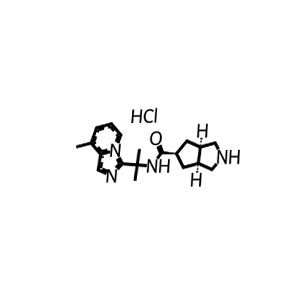 Cc1cccn2c(C(C)(C)NC(=O)[C@H]3C[C@H]4CNC[C@H]4C3)ncc12.Cl